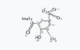 COC(=O)c1cc(S(=O)(=O)Cl)cc(C)c1O